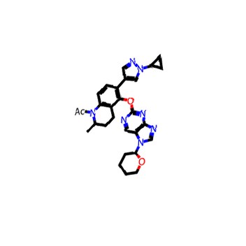 CC(=O)N1c2ccc(-c3cnn(C4CC4)c3)c(Oc3ncc4c(ncn4C4CCCCO4)n3)c2CCC1C